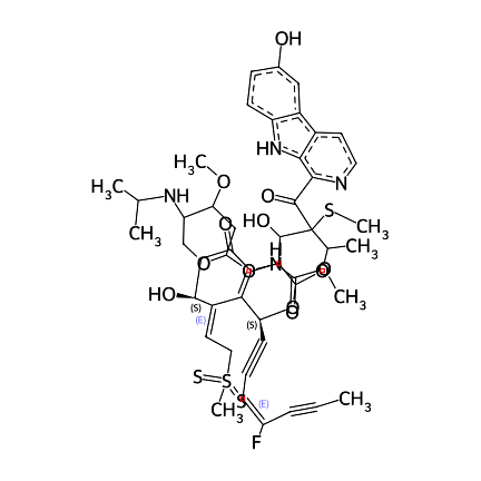 CC#C/C(F)=C\C#C[C@H](OC1OC(C)C(SC)(C(=O)c2nccc3c2[nH]c2ccc(O)cc23)C(O)C1OC1CC(OC)C(NC(C)C)CO1)C1=C(NC(=O)OC)C(=O)C[C@H](O)/C1=C/CS(C)(=S)=S